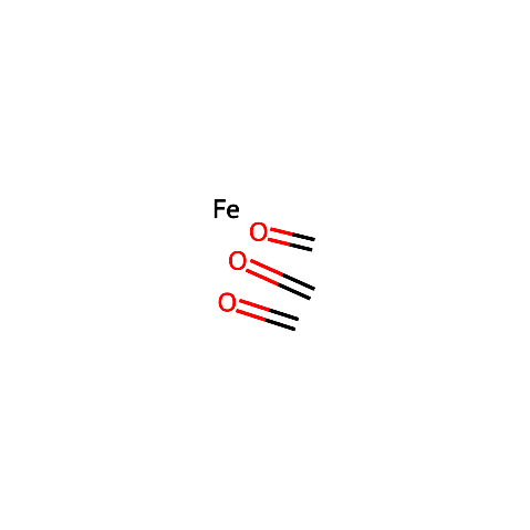 C=O.C=O.C=O.[Fe]